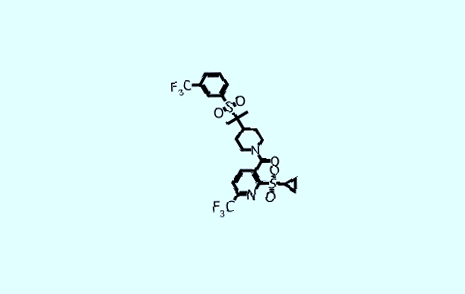 CC(C)(C1CCN(C(=O)c2ccc(C(F)(F)F)nc2S(=O)(=O)C2CC2)CC1)S(=O)(=O)c1cccc(C(F)(F)F)c1